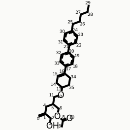 C=C(CO)CC(COC(C)=O)COC1CC=C(c2ccc(-c3ccc(CCCCC)cc3)cc2)CC1